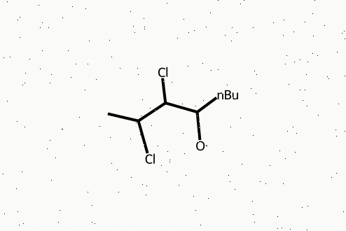 CCCCC([O])C(Cl)C(C)Cl